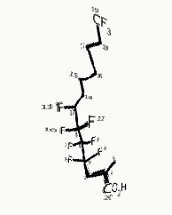 CC(=CC(F)(F)C(F)(F)C(F)(F)C(F)CCCCCC(F)(F)F)C(=O)O